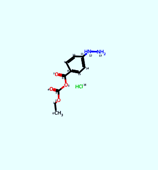 CCOC(=O)OC(=O)c1ccc(NN)cc1.Cl